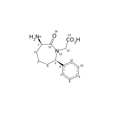 N[C@@H]1CCC[C@H](c2ccccc2)N(CC(=O)O)C1=O